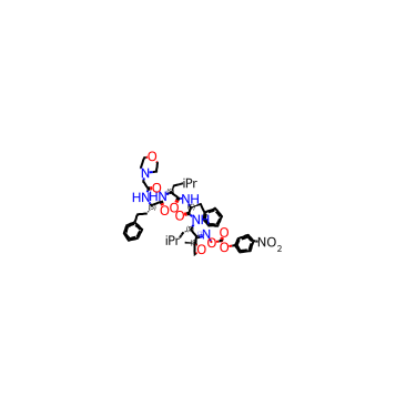 CC(C)C[C@H](NC(=O)[C@H](CCc1ccccc1)NC(=O)CN1CCOCC1)C(=O)N[C@@H](Cc1ccccc1)C(=O)N[C@@H](CC(C)C)/C(=N/OC(=O)Oc1ccc([N+](=O)[O-])cc1)[C@@]1(C)CO1